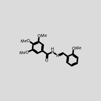 COc1ccccc1C=NNC(=O)c1cc(OC)c(OC)c(OC)c1